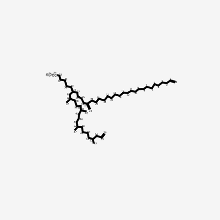 C=CCCCCCCCCCCCCCCCCCCCCC(=C)CCCCC(CCCCCCCCCCCCCCC)CC(C)CCCC(C)CCCC(C)CCCCC(C)CC=C